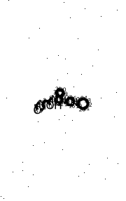 OC(CN1CCOCC1)CN1C=CN(C2CCN(C3CCCCCCC3)CC2)c2ccccc21